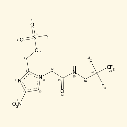 CS(=O)(=O)OCc1nc([N+](=O)[O-])cn1CC(=O)NCC(F)(F)C(F)(F)F